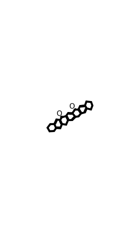 O=C1c2cc3c(cc2Cc2cc4c(cc21)C(=O)c1cc2c(cc1C4)CCCC2)CCCC3